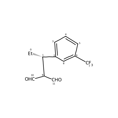 CC[C@H](c1cccc(C(F)(F)F)c1)C(C=O)C=O